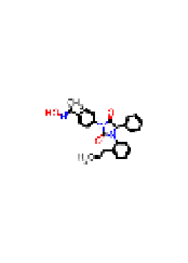 C=CCc1ccccc1N1C(=O)N(c2ccc(/C(C)=N/O)cc2)C(=O)C1c1ccccc1